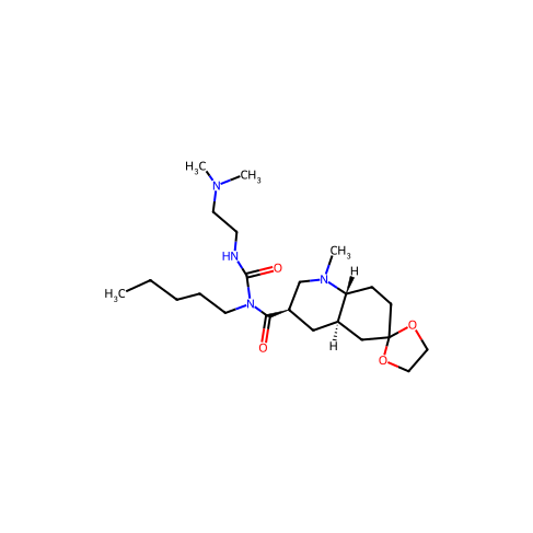 CCCCCN(C(=O)NCCN(C)C)C(=O)[C@@H]1C[C@@H]2CC3(CC[C@H]2N(C)C1)OCCO3